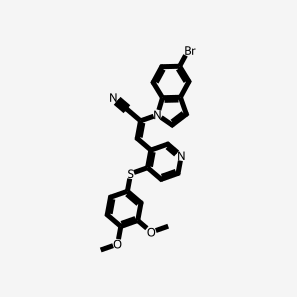 COc1ccc(Sc2ccncc2/C=C(/C#N)n2ccc3cc(Br)ccc32)cc1OC